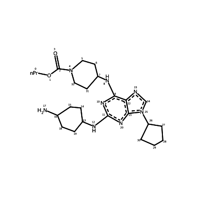 CCCOC(=O)N1CCC(Nc2nc(NC3CCC(N)CC3)nc3c2ncn3C2CCCC2)CC1